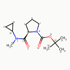 CN(C(=O)[C@H]1CCCN1C(=O)OC(C)(C)C)C1CC1